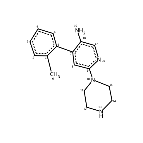 Cc1ccccc1-c1cc(N2CCNCC2)ncc1N